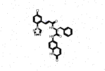 O=C(/C=C/c1cc(Cl)ccc1-n1cnnn1)N[C@@H](Cc1ccccc1)C(=O)Nc1ccc2[nH]c(=O)ccc2c1